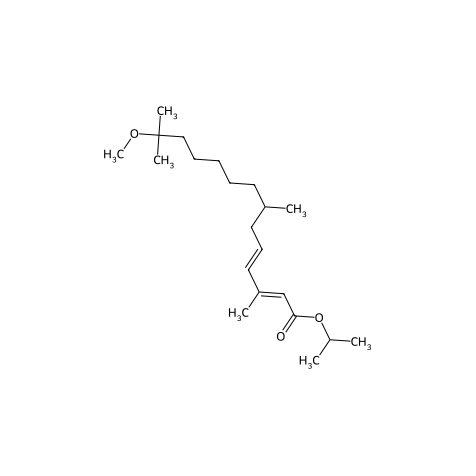 COC(C)(C)CCCCCC(C)CC=CC(C)=CC(=O)OC(C)C